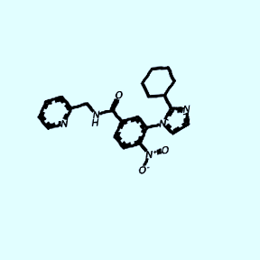 O=C(NCc1ccccn1)c1ccc([N+](=O)[O-])c(-n2ccnc2C2CCCCC2)c1